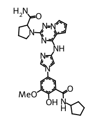 COc1cc(-n2cnc(Nc3nc(N4CCCC4C(N)=O)nn4cccc34)c2)cc(C(=O)NC2CCCC2)c1O